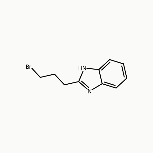 BrCCCc1nc2ccccc2[nH]1